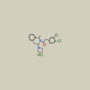 C[C@@H]1c2ccccc2CC(N2CCCC2)N1C(=O)Cc1ccc(Cl)c(Cl)c1.Cl